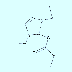 CCC(=O)OC1N(CC)C=CN1CC